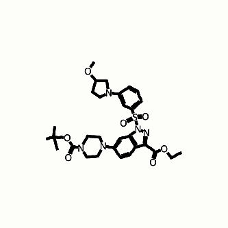 CCOC(=O)c1nn(S(=O)(=O)c2cccc(N3CCC(OC)C3)c2)c2cc(N3CCN(C(=O)OC(C)(C)C)CC3)ccc12